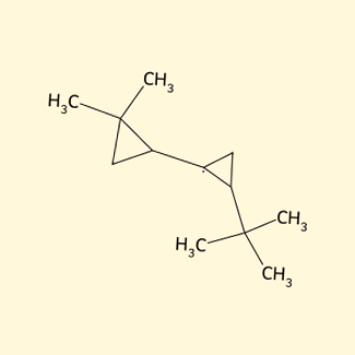 CC(C)(C)C1C[C]1C1CC1(C)C